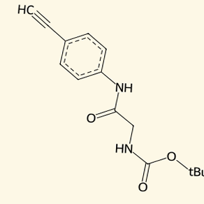 C#Cc1ccc(NC(=O)CNC(=O)OC(C)(C)C)cc1